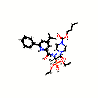 CCCCOC(=O)N1CCN(C(=O)[C@@](C)(NC(=O)c2cc(C(C)C)cc(-c3ccccc3)n2)P(=O)(OCC)OCC)CC1